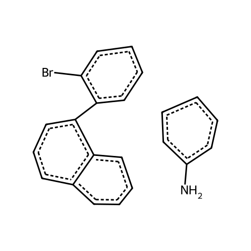 Brc1ccccc1-c1cccc2ccccc12.Nc1ccccc1